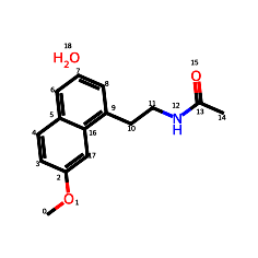 COc1ccc2cccc(CCNC(C)=O)c2c1.O